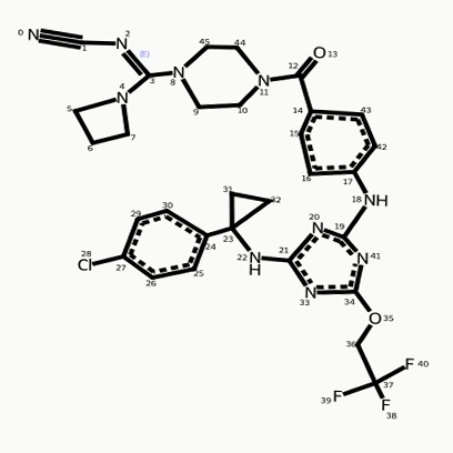 N#C/N=C(\N1CCC1)N1CCN(C(=O)c2ccc(Nc3nc(NC4(c5ccc(Cl)cc5)CC4)nc(OCC(F)(F)F)n3)cc2)CC1